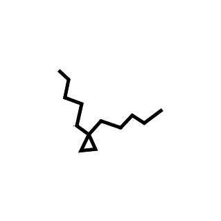 CCCC[CH]C1(CCCCC)CC1